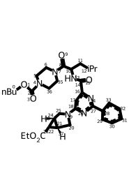 CCCCOC(=O)N1CCN(C(=O)C(CC(C)C)NC(=O)c2cc(N3C[C@@H]4C(C(=O)OCC)[C@@H]4C3)nc(-c3ccccc3)n2)CC1